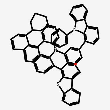 c1ccc(-n2c3ccccc3c3cccc(-c4cccc(N(c5ccccc5-c5cccc6c5sc5ccccc56)c5ccccc5-c5cccc6cccc(C7CCCCC7)c56)c4)c32)cc1